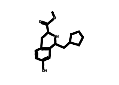 COC(=O)C1Cc2ccc(O)cc2C(CC2CCCC2)N1